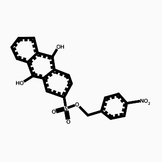 O=[N+]([O-])c1ccc(COS(=O)(=O)c2ccc3c(O)c4ccccc4c(O)c3c2)cc1